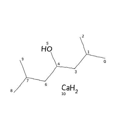 CC(C)CC(O)CC(C)C.[CaH2]